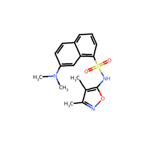 Cc1noc(NS(=O)(=O)c2cccc3ccc(N(C)C)cc23)c1C